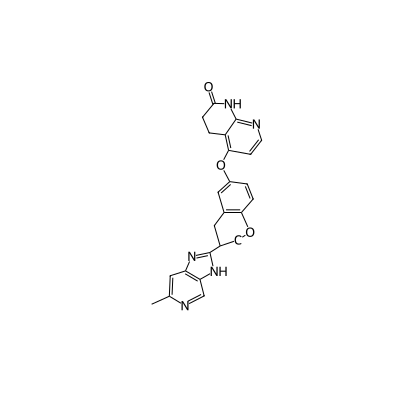 Cc1cc2nc(C3COc4ccc(Oc5ccnc6c5CCC(=O)N6)cc4C3)[nH]c2cn1